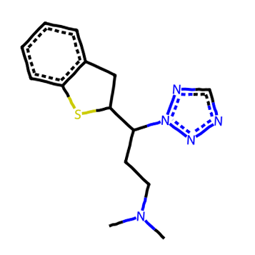 CN(C)CCC(C1Cc2ccccc2S1)n1ncnn1